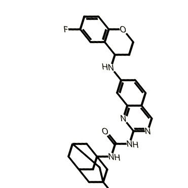 O=C(Nc1ncc2ccc(NC3CCOc4ccc(F)cc43)cc2n1)NC12CC3CC(CC(O)(C3)C1)C2